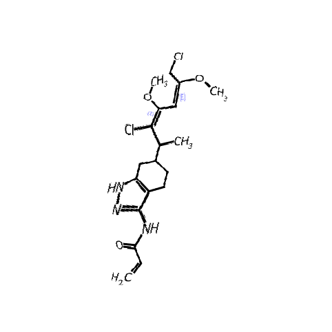 C=CC(=O)Nc1n[nH]c2c1CCC(C(C)/C(Cl)=C(\C=C(/CCl)OC)OC)C2